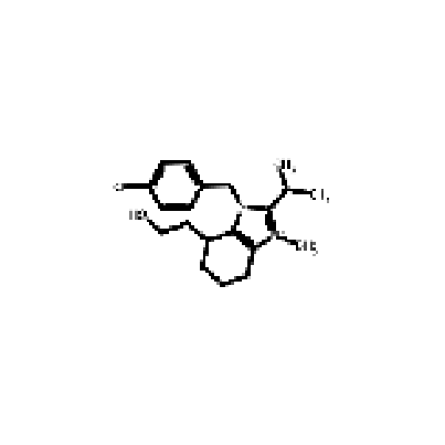 [BH3-][n+]1c2c(n(Cc3ccc(Cl)cc3)c1C(C)C)C(CCO)CCC2